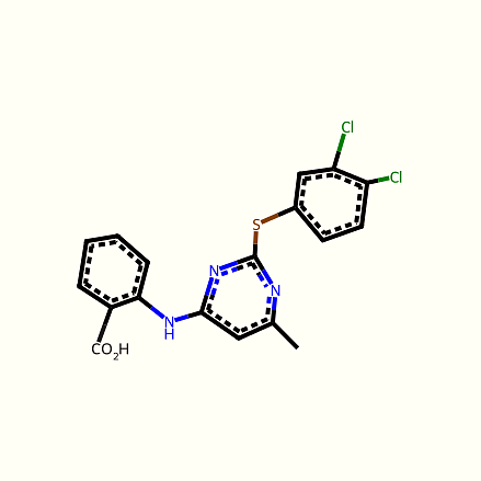 Cc1cc(Nc2ccccc2C(=O)O)nc(Sc2ccc(Cl)c(Cl)c2)n1